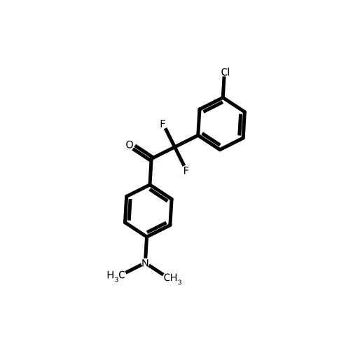 CN(C)c1ccc(C(=O)C(F)(F)c2cccc(Cl)c2)cc1